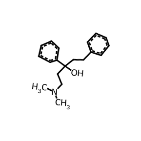 CN(C)CCC(O)(CCc1ccccc1)c1ccccc1